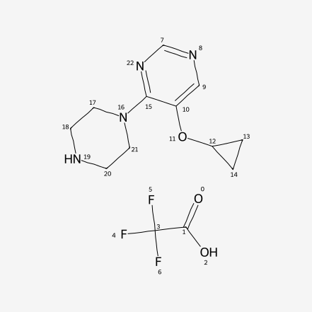 O=C(O)C(F)(F)F.c1ncc(OC2CC2)c(N2CCNCC2)n1